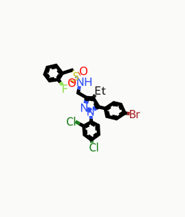 CCc1c(CNS(=O)(=O)Cc2ccccc2F)nn(-c2ccc(Cl)cc2Cl)c1-c1ccc(Br)cc1